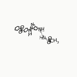 CS(=O)(=O)CCNCCCCNc1ccc2c(c1)C=NCN2Nc1ccc(S(=O)(=O)c2ccccc2)cc1